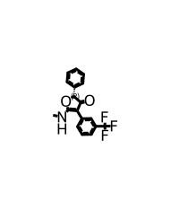 CNC1=C(c2cccc(C(F)(F)F)c2)C(=O)[C@@H](c2ccccc2)O1